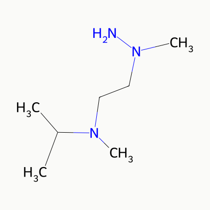 CC(C)N(C)CCN(C)N